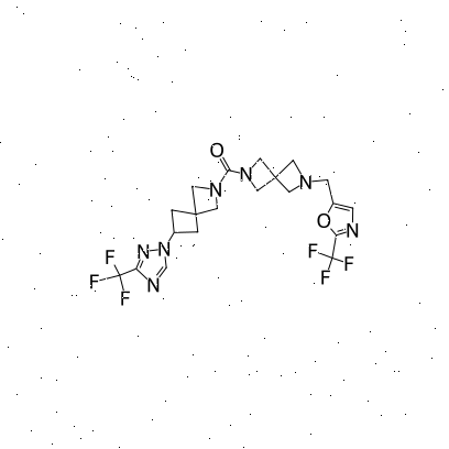 O=C(N1CC2(CC(n3cnc(C(F)(F)F)n3)C2)C1)N1CC2(CN(Cc3cnc(C(F)(F)F)o3)C2)C1